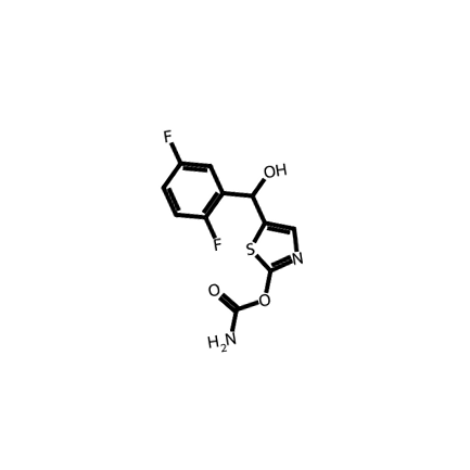 NC(=O)Oc1ncc(C(O)c2cc(F)ccc2F)s1